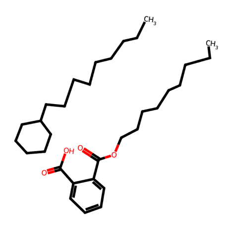 CCCCCCCCCC1CCCCC1.CCCCCCCCCOC(=O)c1ccccc1C(=O)O